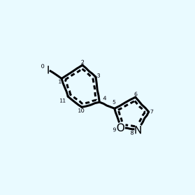 Ic1ccc(-c2ccno2)cc1